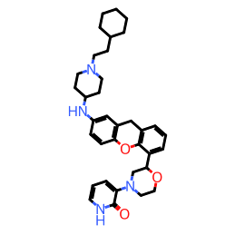 O=c1[nH]cccc1N1CCOC(c2cccc3c2Oc2ccc(NC4CCN(CCC5CCCCC5)CC4)cc2C3)C1